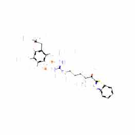 Cc1c(C)c(S(=O)(=O)NC(=N)NCCC[C@H](N)C(=O)c2nc3ccccc3s2)c(C)c2c1OC(C)(C)C2.Cl